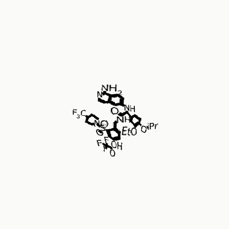 CCOc1cc(C(Nc2ccc3c(N)nccc3c2)C(=O)NCc2ccccc2S(=O)(=O)N2CCC(C(F)(F)F)CC2)ccc1OC(C)C.O=C(O)C(F)(F)F